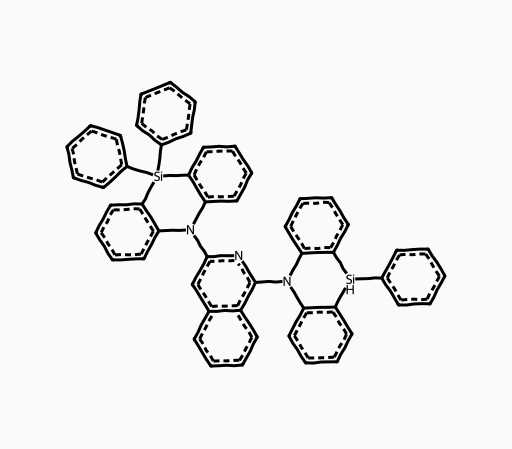 c1ccc([SiH]2c3ccccc3N(c3nc(N4c5ccccc5[Si](c5ccccc5)(c5ccccc5)c5ccccc54)cc4ccccc34)c3ccccc32)cc1